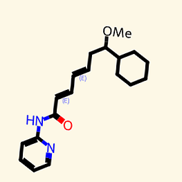 COC(C/C=C/C=C/C(=O)Nc1ccccn1)C1CCCCC1